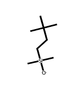 CC(C)(C)CC[Si](C)(C)[O]